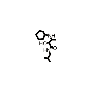 CC(C)CNC(=O)C(O)C(C)NC1CCCCC1